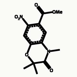 COC(=O)c1cc2c(cc1[N+](=O)[O-])OC(C)(C)C(=O)N2C